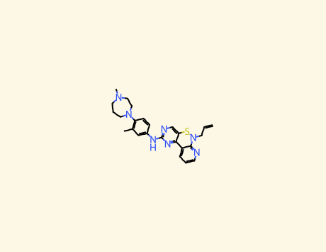 C=CCN1Sc2cnc(Nc3ccc(N4CCCN(C)CC4)c(C)c3)nc2-c2cccnc21